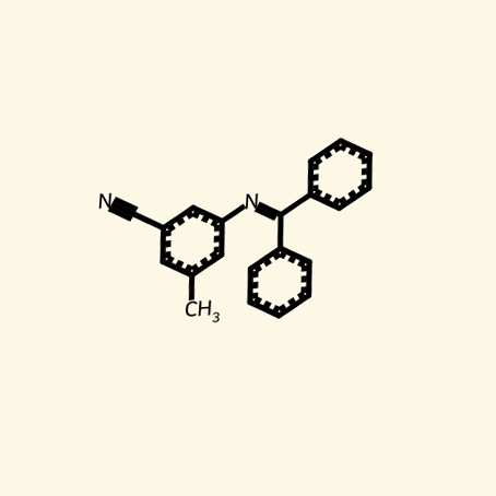 Cc1cc(C#N)cc(N=C(c2ccccc2)c2ccccc2)c1